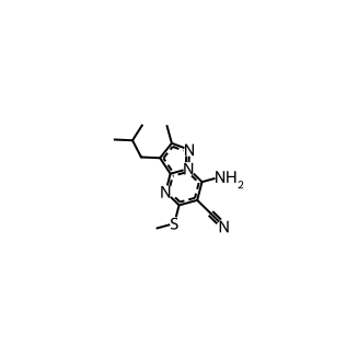 CSc1nc2c(CC(C)C)c(C)nn2c(N)c1C#N